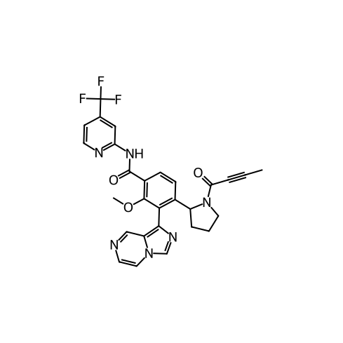 CC#CC(=O)N1CCCC1c1ccc(C(=O)Nc2cc(C(F)(F)F)ccn2)c(OC)c1-c1ncn2ccncc12